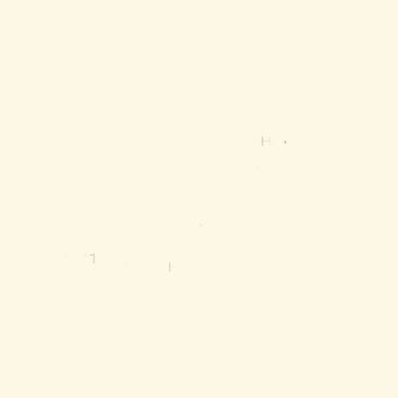 CCCCCCCOc1ccc2c(sc3c(F)c(SCCCCCC)ccc32)c1F